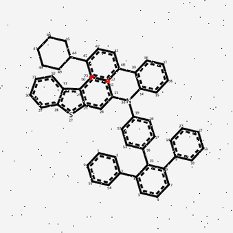 c1ccc(-c2cccc(-c3ccccc3)c2-c2ccc(N(c3ccc4c(c3)sc3ccccc34)c3ccccc3-c3ccc(C4CCCCC4)cc3)cc2)cc1